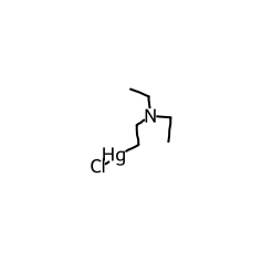 CCN(CC)C[CH2][Hg][Cl]